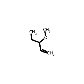 C=CC(CC)OC